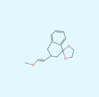 CO/C=C/C1Cc2ccccc2C2(C1)OCCO2